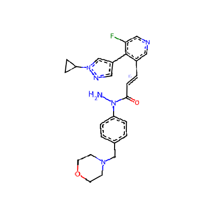 NN(C(=O)/C=C/c1cncc(F)c1-c1cnn(C2CC2)c1)c1ccc(CN2CCOCC2)cc1